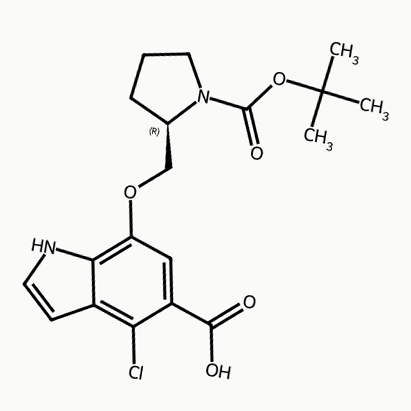 CC(C)(C)OC(=O)N1CCC[C@@H]1COc1cc(C(=O)O)c(Cl)c2cc[nH]c12